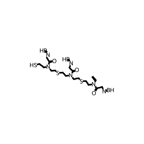 B=NCC(=O)N(C=C)CCSCCN(CCSCCN(CCS)C(=O)CN=B)C(=O)CN=B